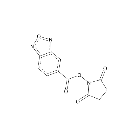 O=C(ON1C(=O)CCC1=O)c1ccc2nonc2c1